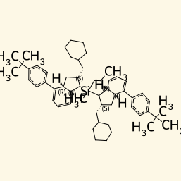 CCC[Si](C)(C1[C@@H](CC2CCCCC2)C[C@H]2C(c3ccc(C(C)(C)C)cc3)=CC=C[C@@H]12)C1[C@@H](CC2CCCCC2)C[C@H]2C(c3ccc(C(C)(C)C)cc3)=CC=C[C@@H]12